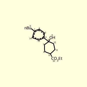 CCCCc1ccc(C2(O)CCC(C(=O)OCC)CC2)cc1